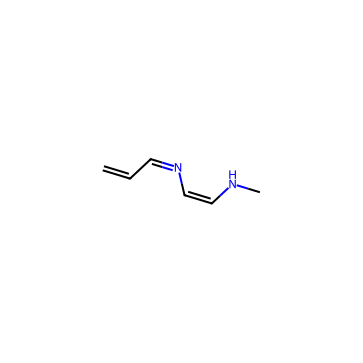 C=C/C=N\C=C/NC